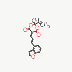 CCC1(C)OC(=O)C(=CC=Cc2cccc3occc23)C(=O)O1